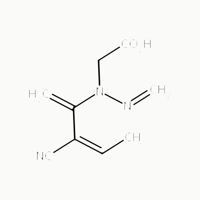 C=NN(CC(=O)O)C(=C)/C(C#N)=C\C